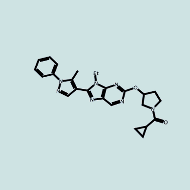 CCn1c(-c2cnn(-c3ccccc3)c2C)nc2cnc(OC3CCN(C(=O)C4CC4)C3)nc21